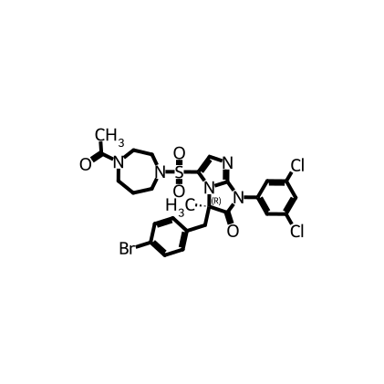 CC(=O)N1CCCN(S(=O)(=O)c2cnc3n2[C@](C)(Cc2ccc(Br)cc2)C(=O)N3c2cc(Cl)cc(Cl)c2)CC1